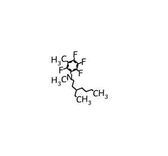 CCCCC(CC)CCN(C)c1c(F)c(C)c(F)c(F)c1F